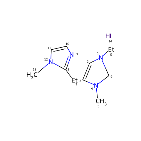 CCN1C=CN(C)C1.CCc1nccn1C.I